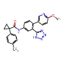 CC(C)Oc1ccc(-c2ccc(NC(=O)C3(c4ccc(C(F)(F)F)cc4)CC3)cc2-c2nnn[nH]2)cn1